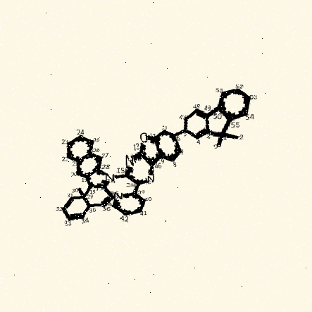 CC1(C)C2=CC(c3ccc4c(c3)oc3nc(-n5c6c(c7cc8ccccc8cc75)C5(C)C=CC=CC5C=C6)c(-c5ccccn5)nc34)CC=C2c2ccccc21